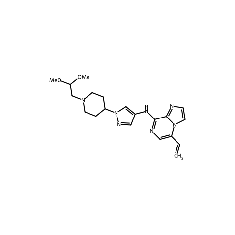 C=Cc1cnc(Nc2cnn(C3CCN(CC(OC)OC)CC3)c2)c2nccn12